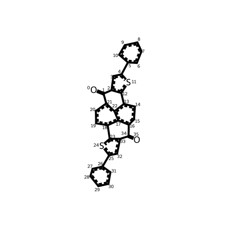 O=C1c2cc(-c3ccccc3)sc2-c2ccc3c4c(ccc1c24)-c1sc(-c2ccccc2)cc1C3=O